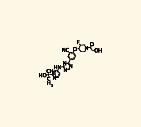 CC(C)(O)c1cc(Nc2ncnc(-c3ccc(O[C@H]4CCN(C(=O)CO)CC4F)c(C#N)c3)n2)ccn1